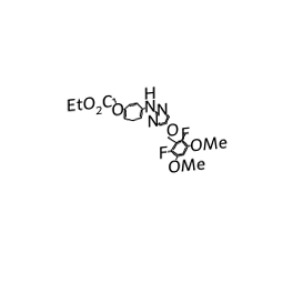 CCOC(=O)COC1=CCC=C(Nc2ncc(OCc3c(F)c(OC)cc(OC)c3F)cn2)C=C1